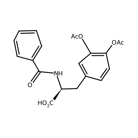 CC(=O)Oc1ccc(C[C@H](NC(=O)c2ccccc2)C(=O)O)cc1OC(C)=O